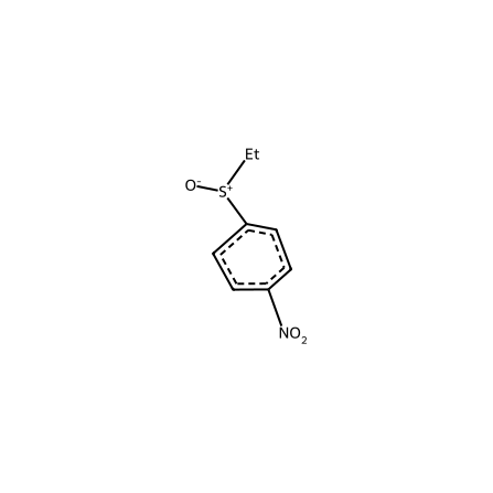 CC[S+]([O-])c1ccc([N+](=O)[O-])cc1